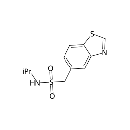 CC(C)NS(=O)(=O)Cc1ccc2scnc2c1